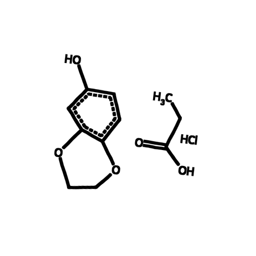 CCC(=O)O.Cl.Oc1ccc2c(c1)OCCO2